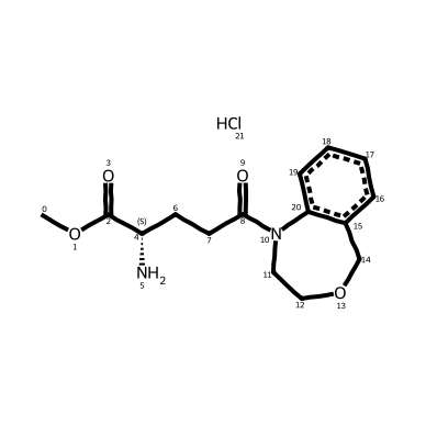 COC(=O)[C@@H](N)CCC(=O)N1CCOCc2ccccc21.Cl